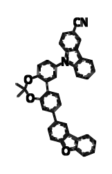 CC1(C)Oc2cc(-c3ccc4oc5ccccc5c4c3)ccc2-c2cc(-n3c4ccccc4c4cc(C#N)ccc43)ccc2O1